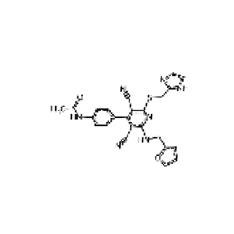 CC(=O)Nc1ccc(-c2c(C#N)c(NCc3ccco3)nc(SCc3ncc[nH]3)c2C#N)cc1